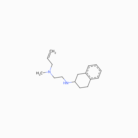 C=CCN(C)CCNC1CCc2ccccc2C1